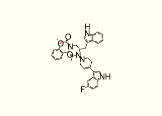 COc1ccccc1CN(C[C@@H](Cc1c[nH]c2ccccc12)N(C(C)=O)N1CC=C(c2c[nH]c3ccc(F)cc23)CC1)C(C)=O